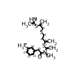 C=C(CCSCC(=C)SC(C)=N)SC(=C)N(C)C(=O)Cc1cccc(C)c1